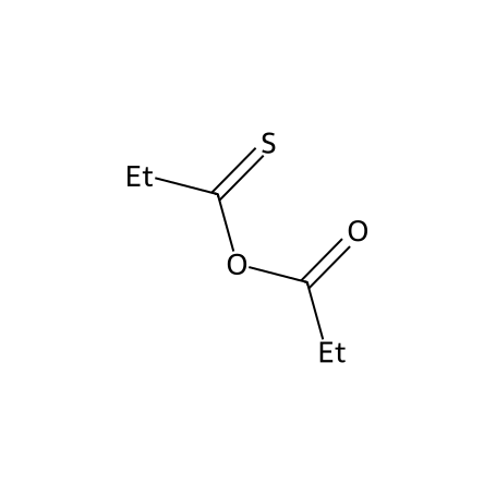 CCC(=O)OC(=S)CC